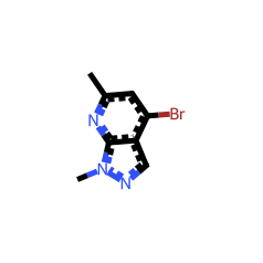 Cc1cc(Br)c2cnn(C)c2n1